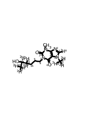 [2H]c1nc2c(c(=O)n(CCCC([2H])([2H])[C@]([2H])(O)C([2H])([2H])[2H])c(=O)n2C)n1C([2H])([2H])[2H]